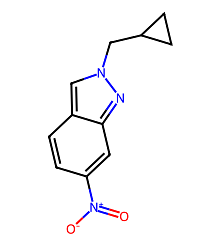 O=[N+]([O-])c1ccc2cn(CC3CC3)nc2c1